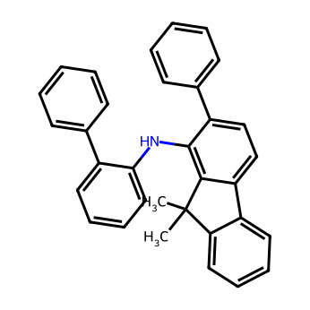 CC1(C)c2ccccc2-c2ccc(-c3ccccc3)c(Nc3ccccc3-c3ccccc3)c21